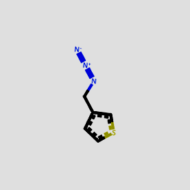 [N-]=[N+]=NCc1ccsc1